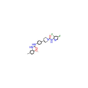 COc1ccc(C)cc1NC(=O)Nc1ccc(C2=CCN(C(=O)Nc3ncc(F)cc3F)CC2)cc1